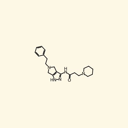 O=C(CCN1CCCCC1)Nc1n[nH]c2c1CN(CCc1ccccc1)C2